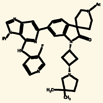 CC(=O)N1CCC2(CC1)C(=O)N([C@H]1C[C@@H](N3CCC(C)(C)C3)C1)c1cc(-c3cc4ncn(C(C)C)c4c(Nc4ccncc4F)n3)ccc12